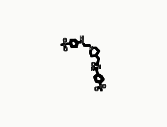 CS(=O)(=O)c1ccc(NCCN2CCC(Cc3nc(-c4ccc(S(C)(=O)=O)cc4)no3)CC2)cc1